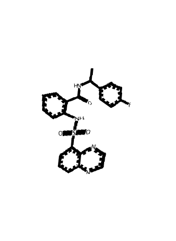 CC(NC(=O)c1ccccc1NS(=O)(=O)c1cccc2nccnc12)c1ccc(F)cc1